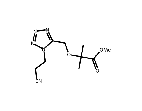 COC(=O)C(C)(C)OCc1nnnn1CCC#N